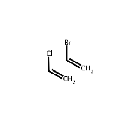 C=CBr.C=CCl